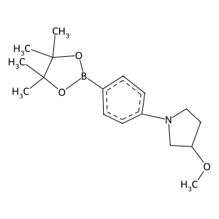 COC1CCN(c2ccc(B3OC(C)(C)C(C)(C)O3)cc2)C1